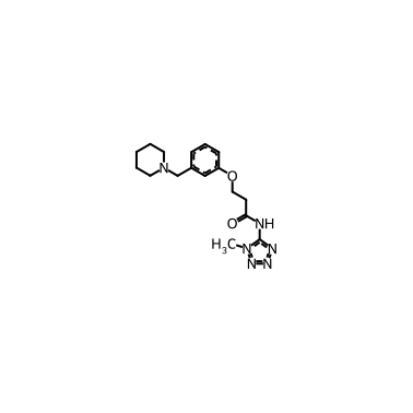 Cn1nnnc1NC(=O)CCOc1cccc(CN2CCCCC2)c1